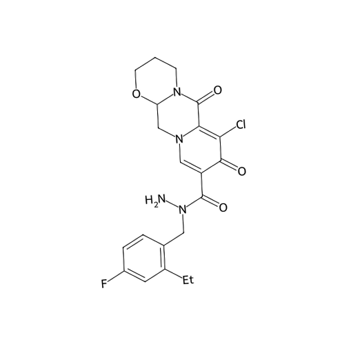 CCc1cc(F)ccc1CN(N)C(=O)c1cn2c(c(Cl)c1=O)C(=O)N1CCCOC1C2